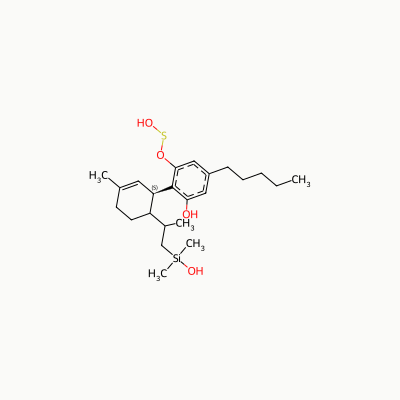 CCCCCc1cc(O)c([C@@H]2C=C(C)CCC2C(C)C[Si](C)(C)O)c(OSO)c1